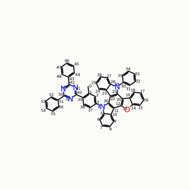 Cc1cc(-n2c3ccccc3c3c4oc5ccccc5c4c4c(c5ccccc5n4-c4ccccc4)c32)ccc1-c1nc(-c2ccccc2)nc(-c2ccccc2)n1